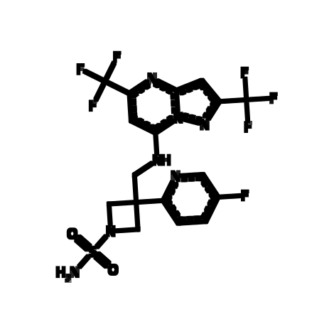 NS(=O)(=O)N1CC(CNc2cc(C(F)(F)F)nc3cc(C(F)(F)F)nn23)(c2ccc(F)cn2)C1